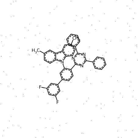 Cc1ccc2c(c1)c1cc(C)ccc1n2-c1cc(-c2cc(F)cc(F)c2)ccc1-c1nc(-c2ccccc2)nc(-c2ccccc2)n1